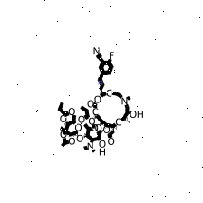 CCC(=O)O[C@@H]1CC(=O)O[C@@H](C/C=C/c2ccc(F)c(C#N)c2)CCCN(C)C[C@H](O)[C@H](C)C[C@H](CC=O)[C@H](O[C@@H]2OC(C)[C@@H](O[C@H]3CC(C)(OC(C)=O)[C@@H](OC(=O)CC)C(C)O3)C(N(C)C)C2O)[C@H]1OC